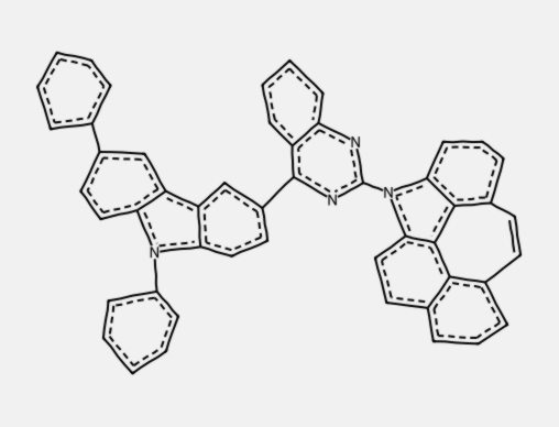 C1=Cc2cccc3c2c2c4c1cccc4ccc2n3-c1nc(-c2ccc3c(c2)c2cc(-c4ccccc4)ccc2n3-c2ccccc2)c2ccccc2n1